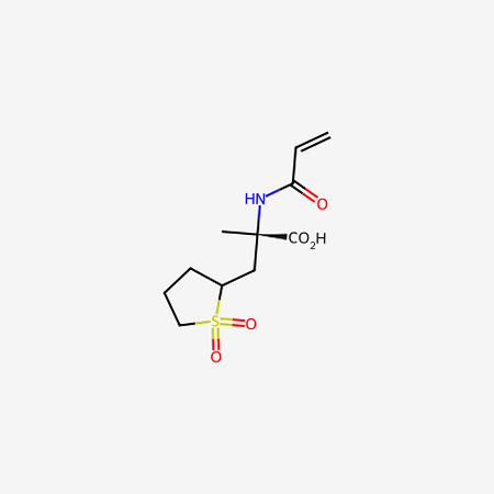 C=CC(=O)N[C@@](C)(CC1CCCS1(=O)=O)C(=O)O